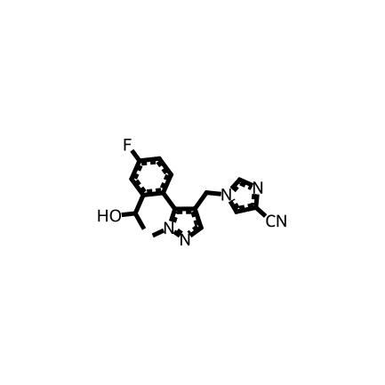 CC(O)c1cc(F)ccc1-c1c(Cn2cnc(C#N)c2)cnn1C